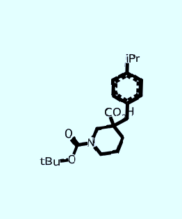 CC(C)c1ccc(CC2(C(=O)O)CCCN(C(=O)OC(C)(C)C)C2)cc1